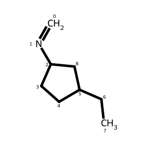 C=NC1CCC(CC)C1